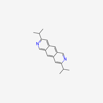 CC(C)c1cc2cc3cnc(C(C)C)cc3cc2cn1